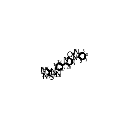 c1ccc2c(c1)nc1oc3nc(-c4ccc5c(c4)nc4sc6ncncc6n45)ccc3n12